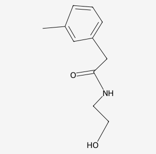 Cc1cccc(CC(=O)NCCO)c1